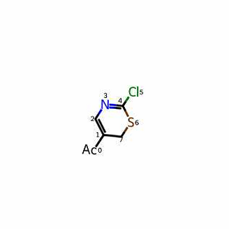 CC(=O)C1=CN=C(Cl)SC1